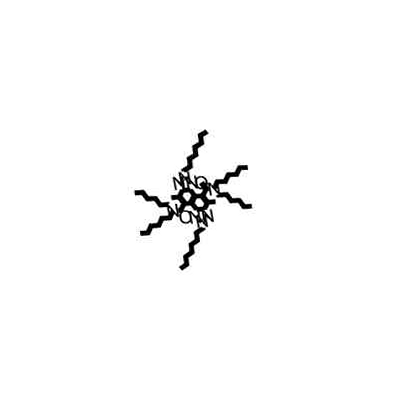 CCCCCCCCn1nc2c(C)c(C(=O)N(CCCCCC)CCCCCC)c3c4nn(CCCCCCCC)nc4c(C)c(C(=O)N(CCCCCC)CCCCCC)c3c2n1